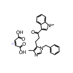 Cc1ncn(Cc2ccccc2)c1CCC(=O)c1cn(C)c2ccccc12.O=C(O)/C=C\C(=O)O